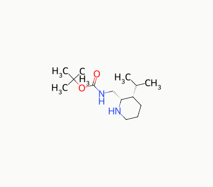 CC(C)[C@@H]1CCCN[C@@H]1CNC(=O)OC(C)(C)C